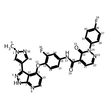 Cn1cc(-c2n[nH]c3nccc(Oc4ccc(NC(=O)c5ccnn(-c6ccc(F)cc6)c5=O)cc4F)c23)cn1